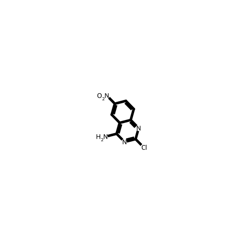 Nc1nc(Cl)nc2ccc([N+](=O)[O-])cc12